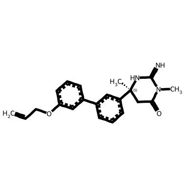 C=CCOc1cccc(-c2cccc([C@]3(C)CC(=O)N(C)C(=N)N3)c2)c1